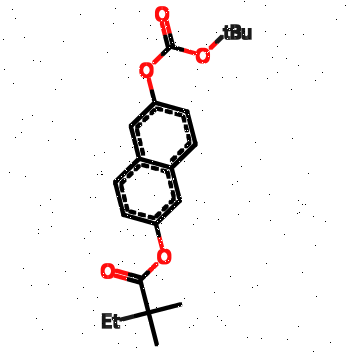 CCC(C)(C)C(=O)Oc1ccc2cc(OC(=O)OC(C)(C)C)ccc2c1